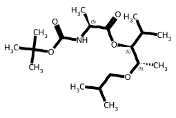 CC(C)CO[C@@H](C)[C@@H](OC(=O)[C@H](C)NC(=O)OC(C)(C)C)C(C)C